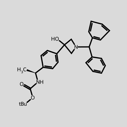 C[C@H](NC(=O)OC(C)(C)C)c1ccc(C2(O)CN(C(c3ccccc3)c3ccccc3)C2)cc1